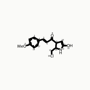 COc1ccc(/C=C/C(=O)C2C=C(O)NC2CCl)cc1